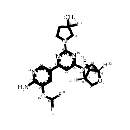 CC1(F)CCN(c2nc(-c3cnc(N)c(OC(F)F)c3)cc(N3C[C@@H]4OC[C@H]3C4F)n2)C1